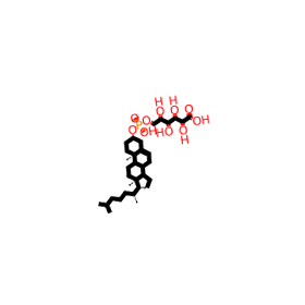 CC(C)CCC[C@@H](C)[C@H]1CCC2C3CC=C4C[C@@H](OP(=O)(O)OCC(O)C(O)C(O)C(O)C(=O)O)CC[C@]4(C)C3CC[C@@]21C